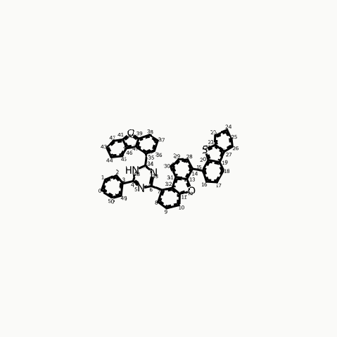 c1ccc(C2=NC(c3cccc4oc5c(-c6cccc7c6sc6ccccc67)cccc5c34)=NC(c3cccc4oc5ccccc5c34)N2)cc1